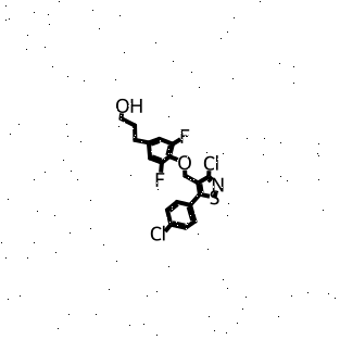 OCCCc1cc(F)c(OCc2c(Cl)nsc2-c2ccc(Cl)cc2)c(F)c1